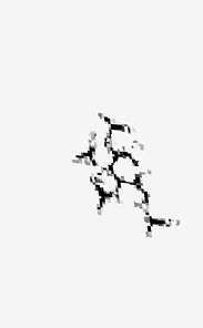 CC(=O)NC1[C@H](C)OC(COC(C)=O)[C@@H](OC(C)=O)[C@@H]1OC(C)=O